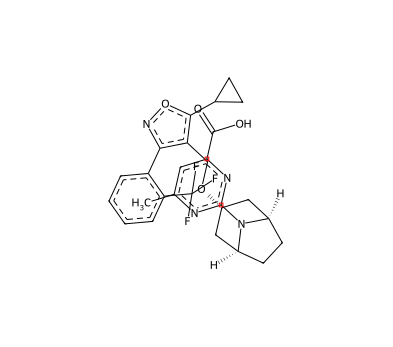 Cc1cc(C(=O)O)nc(N2[C@@H]3CC[C@H]2C[C@H](OCc2c(-c4ccccc4C(F)(F)F)noc2C2CC2)C3)n1